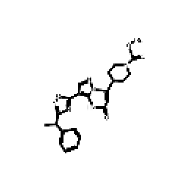 CC(c1ccccc1)c1noc(-c2cnn3c(C4CCN(C(=O)OC(C)(C)C)CC4)cc(=O)[nH]c23)n1